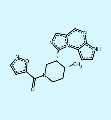 C[C@@H]1CCN(C(=O)c2ccno2)C[C@@H]1c1ncc2cnc3[nH]ccc3n12